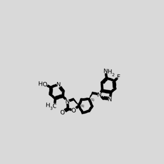 Cc1cc(O)ncc1N1C[C@@]2(CCC[C@H](Cn3cnc4cc(F)c(N)cc43)C2)OC1=O